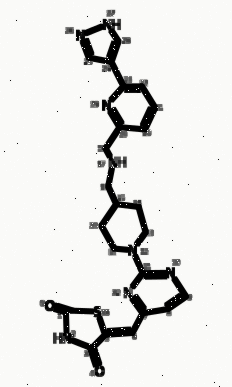 O=C1NC(=O)C(=Cc2ccnc(N3CCC(CNCc4cccc(-c5cn[nH]c5)n4)CC3)n2)S1